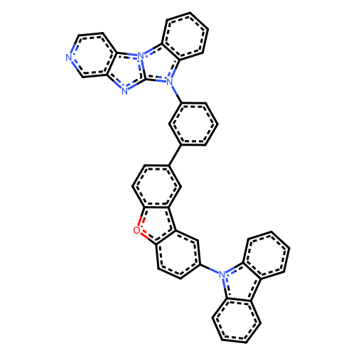 c1cc(-c2ccc3oc4ccc(-n5c6ccccc6c6ccccc65)cc4c3c2)cc(-n2c3ccccc3n3c4ccncc4nc23)c1